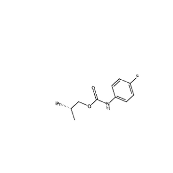 CC(C)[C@@H](C)COC(=O)Nc1ccc(F)cc1